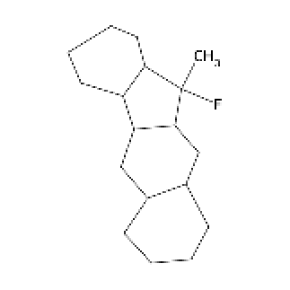 CC1(F)C2CCCCC2C2CC3CCCCC3CC21